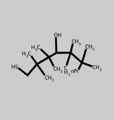 CCCC(C)(C)C(C)(C)C(O)C(C)(C)C(C)(C)CS